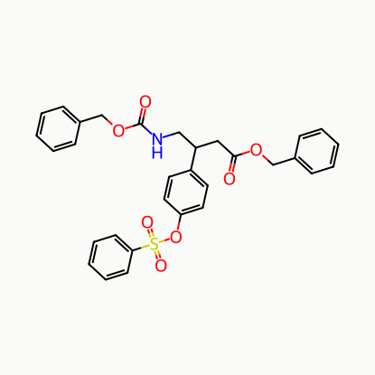 O=C(CC(CNC(=O)OCc1ccccc1)c1ccc(OS(=O)(=O)c2ccccc2)cc1)OCc1ccccc1